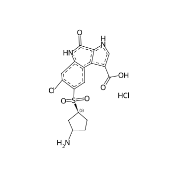 Cl.NC1CC[C@H](S(=O)(=O)c2cc3c(cc2Cl)[nH]c(=O)c2[nH]cc(C(=O)O)c23)C1